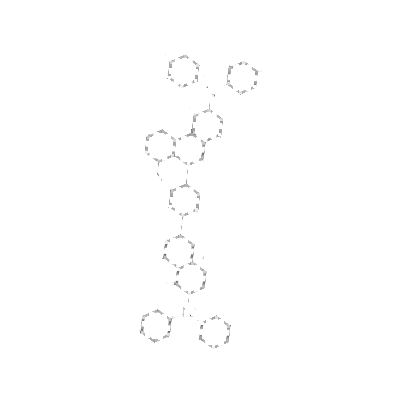 c1ccc(N(c2ccccc2)c2ccc3cc(-c4ccc5c(c4)Oc4cccc6c4c-5cc4ccc(N(c5ccccc5)c5ccccc5)cc46)ccc3c2)cc1